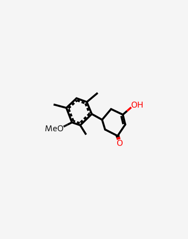 COc1c(C)cc(C)c(C2CC(=O)C=C(O)C2)c1C